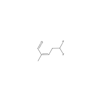 CC(C=O)=CCC(F)F